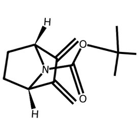 C=C1C(=C)[C@@H]2CC[C@H]1N2C(=O)OC(C)(C)C